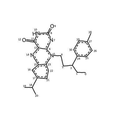 CCC(CCn1c2nc(=O)[nH]c(=O)c-2nc2cc(C(C)C)ccc21)c1ccc(C)cc1